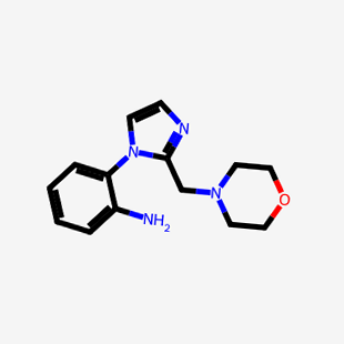 Nc1ccccc1-n1ccnc1CN1CCOCC1